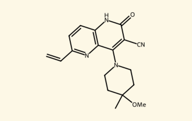 C=Cc1ccc2[nH]c(=O)c(C#N)c(N3CCC(C)(OC)CC3)c2n1